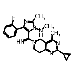 CNn1c(C)nc(-c2ccccc2F)c1C(=N)N1CCc2nc(C3CC3)nc(C)c2C1